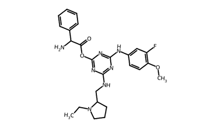 CCN1CCCC1CNc1nc(Nc2ccc(OC)c(F)c2)nc(OC(=O)C(N)c2ccccc2)n1